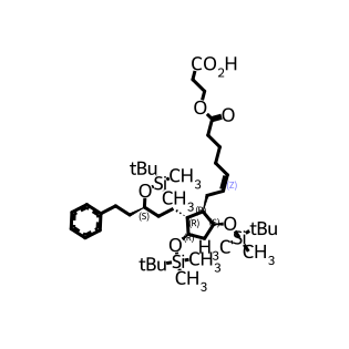 CC(C)(C)[Si](C)(C)O[C@H](CCc1ccccc1)CC[C@@H]1[C@@H](C/C=C\CCCC(=O)OCCC(=O)O)[C@@H](O[Si](C)(C)C(C)(C)C)C[C@H]1O[Si](C)(C)C(C)(C)C